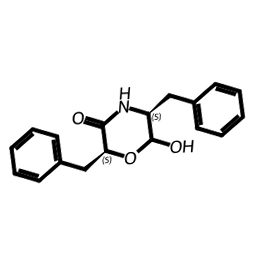 O=C1N[C@@H](Cc2ccccc2)C(O)O[C@H]1Cc1ccccc1